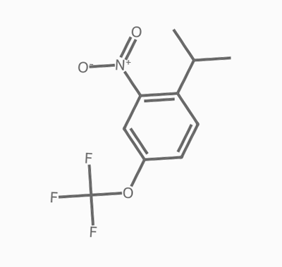 CC(C)c1ccc(OC(F)(F)F)cc1[N+](=O)[O-]